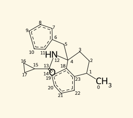 CC1CCC(Cc2ccccc2)(NC(=O)C2CC2)c2ccccc21